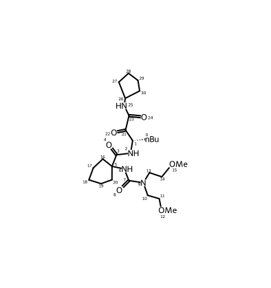 CCCC[C@H](NC(=O)C1(NC(=O)N(CCOC)CCOC)CCCCC1)C(=O)C(=O)NC1CCCC1